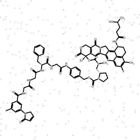 CC[C@@]1(OC(=O)N(C)C[C@@H]2CCCN2C(=O)OCc2ccc(NC(=O)CNC(=O)[C@H](Cc3ccccc3)NC(=O)CNC(=O)CNC(=O)c3cc(I)cc(N4CC=CC4=O)c3)cc2)C(=O)OCc2c1cc1n(c2=O)Cc2c-1nc1cc(F)c(C)c3c1c2[C@@H](NC(=O)CCC(C)O)CC3